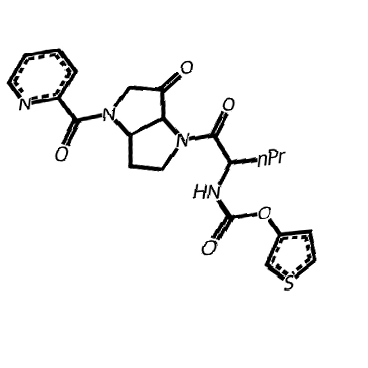 CCCC(NC(=O)Oc1ccsc1)C(=O)N1CCC2C1C(=O)CN2C(=O)c1ccccn1